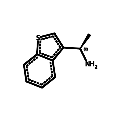 C[C@@H](N)c1csc2ccccc12